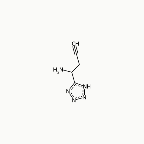 C#CCC(N)c1nnn[nH]1